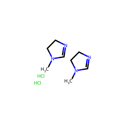 CN1C=NCC1.CN1C=NCC1.Cl.Cl